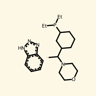 [CH2]C(C1CCCC(P(CC)CC)C1)N1CCOCC1.c1ccc2[nH]nnc2c1